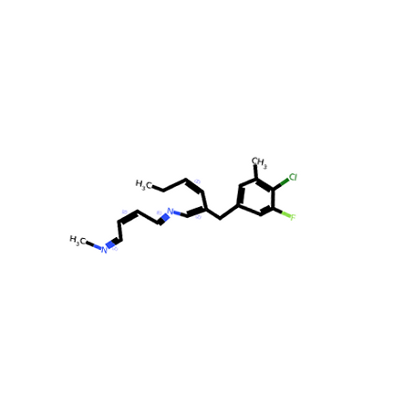 CC\C=C/C(=C\N=C\C=C/C=N\C)Cc1cc(C)c(Cl)c(F)c1